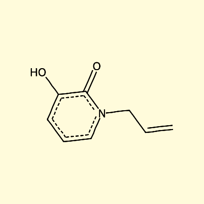 C=CCn1cccc(O)c1=O